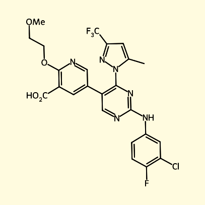 COCCOc1ncc(-c2cnc(Nc3ccc(F)c(Cl)c3)nc2-n2nc(C(F)(F)F)cc2C)cc1C(=O)O